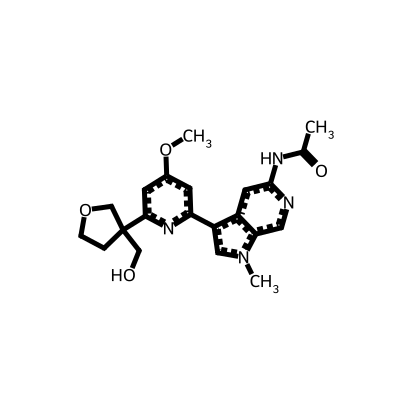 COc1cc(-c2cn(C)c3cnc(NC(C)=O)cc23)nc(C2(CO)CCOC2)c1